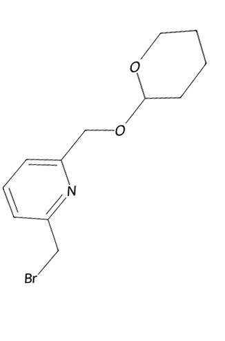 BrCc1cccc(COC2CCCCO2)n1